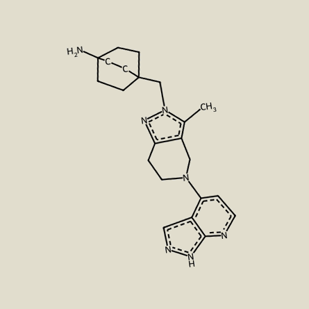 Cc1c2c(nn1CC13CCC(N)(CC1)CC3)CCN(c1ccnc3[nH]ncc13)C2